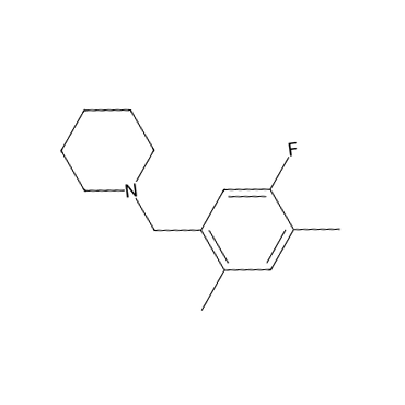 Cc1cc(C)c(CN2CCCCC2)cc1F